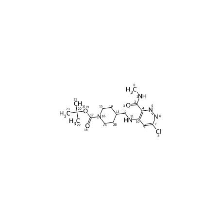 CNC(=O)c1nnc(Cl)cc1NCC1CCN(C(=O)OC(C)(C)C)CC1